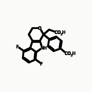 O=C(O)CC1(c2ccc(C(=O)O)cc2)OCCc2c1[nH]c1c(F)ccc(F)c21